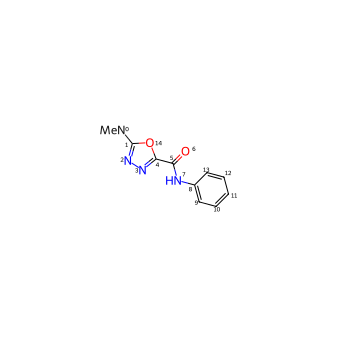 CNc1nnc(C(=O)Nc2ccccc2)o1